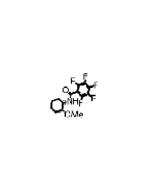 CO[C@H]1CCCC[C@@H]1NC(=O)c1c(F)c(F)c(F)c(F)c1F